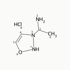 CC(N)N1C=CON1.Cl